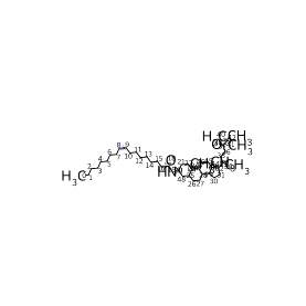 CCCCCCCC/C=C\CCCCCCCC(=O)N[C@H]1CC[C@@]2(C)C(CCC3C4CCC(C(C)CCC(=O)C(C)(C)C)[C@@]4(C)CCC32)C1